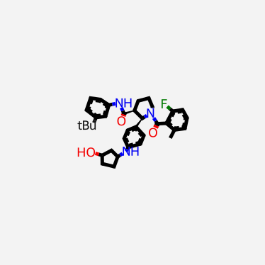 Cc1cccc(F)c1C(=O)N1CCC[C@H](C(=O)Nc2cccc(C(C)(C)C)c2)[C@@H]1c1ccc(NC2CCC(O)C2)cc1